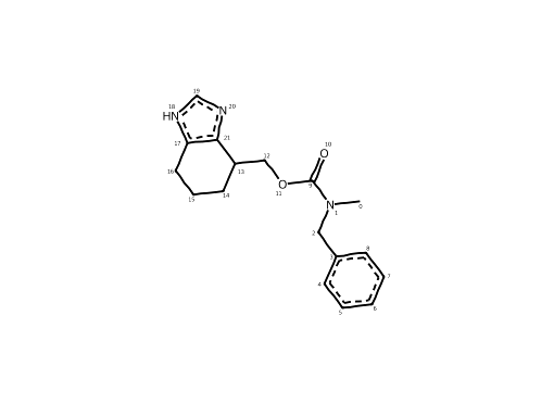 CN(Cc1ccccc1)C(=O)OCC1CCCc2[nH]cnc21